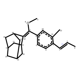 C/C=C/c1ccc(C(OC)=C2C3CC4CC(C3)CC2C4)cc1C